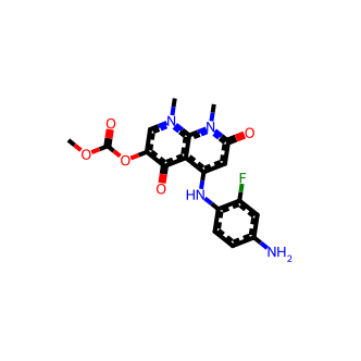 COC(=O)Oc1cn(C)c2c(c(Nc3ccc(N)cc3F)cc(=O)n2C)c1=O